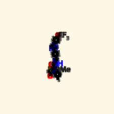 COc1ccc(C)cc1N1C(=O)CS/C1=N\C(=O)N/N=C/c1ccc(-c2ncn(-c3ccc(OC(F)(F)F)cc3)n2)cc1